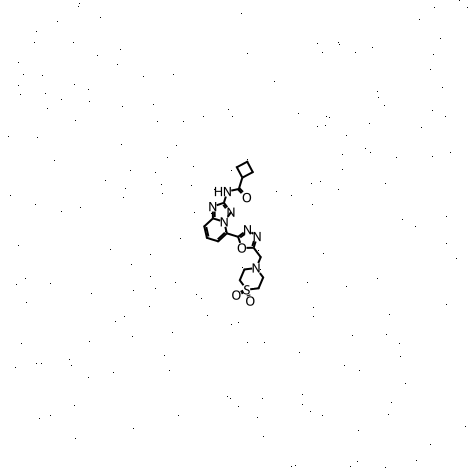 O=C(Nc1nc2cccc(-c3nnc(CN4CCS(=O)(=O)CC4)o3)n2n1)C1CCC1